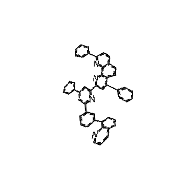 c1ccc(-c2cc(-c3cccc(-c4cccc5cccnc45)c3)nc(-c3cc(-c4ccccc4)c4ccc5ccc(-c6ccccc6)nc5c4n3)c2)cc1